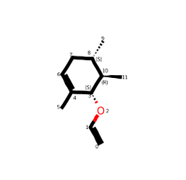 C=CO[C@@H]1C(C)=CC[C@H](C)[C@H]1C